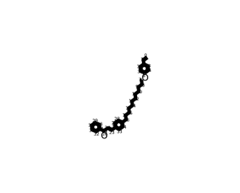 C=Cc1ccc(OCCCCCCCCCCCCc2ccc(C=CC(=O)c3ccccc3)cc2)cc1